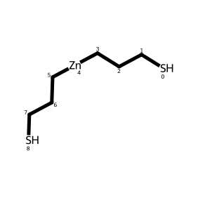 SCC[CH2][Zn][CH2]CCS